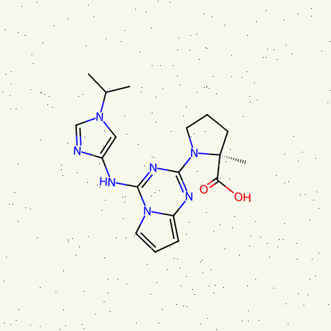 CC(C)n1cnc(Nc2nc(N3CCC[C@@]3(C)C(=O)O)nc3cccn23)c1